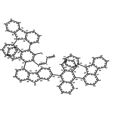 C=C/C=C\c1c(C)c(-c2cccc3c4ccccc4n(-c4ccccc4)c23)c2ccccc2c1-c1cccc2sc3cc(-c4c5ccccc5c(-c5cccc6c7ccccc7n(-c7ccccc7)c56)c5ccccc45)ccc3c12